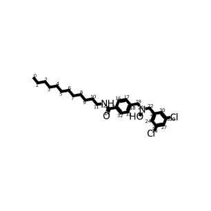 CCCCCCCCCCCCNC(=O)c1ccc(CN(O)Cc2cc(Cl)cc(Cl)c2)cc1